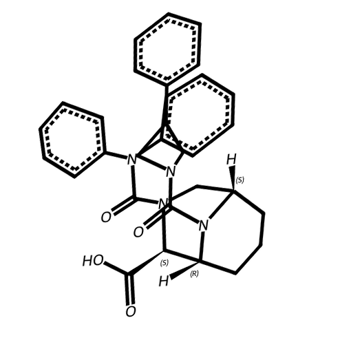 O=C(O)[C@@H]1[C@H]2CCC[C@@H](CN1C(=O)N(c1ccccc1)c1ccccc1)N2C(=O)N1CC(c2ccccc2)C1